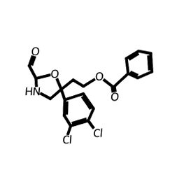 O=CC1NCC(CCOC(=O)c2ccccc2)(c2ccc(Cl)c(Cl)c2)O1